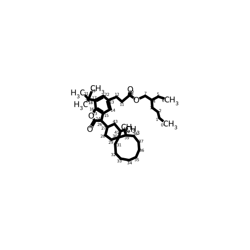 CCCCC(CC)COC(=O)CCc1cc2c(c(C(C)(C)C)c1)OC(=O)C2C1CCC2(CCCCCCCCC2C)C(C)C1